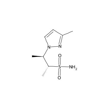 Cc1ccn([C@H](C)[C@@H](C)S(N)(=O)=O)n1